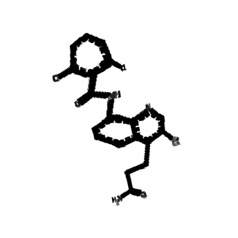 CCc1cnc2c(NC(=O)c3c(Cl)cccc3Cl)cccc2c1CCC(N)=O